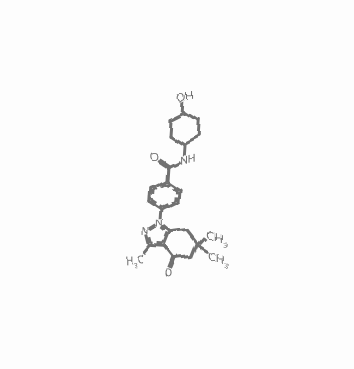 Cc1nn(-c2ccc(C(=O)NC3CCC(O)CC3)cc2)c2c1C(=O)CC(C)(C)C2